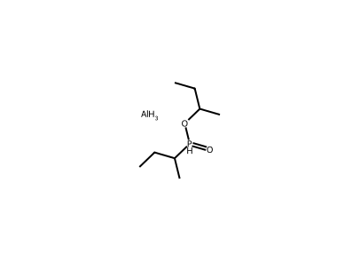 CCC(C)O[PH](=O)C(C)CC.[AlH3]